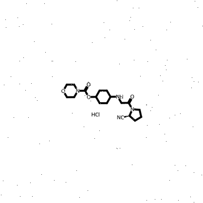 Cl.N#C[C@@H]1CCCN1C(=O)CNC1CCC(OC(=O)N2CCOCC2)CC1